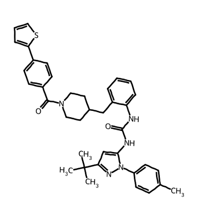 Cc1ccc(-n2nc(C(C)(C)C)cc2NC(=O)Nc2ccccc2CC2CCN(C(=O)c3ccc(-c4cccs4)cc3)CC2)cc1